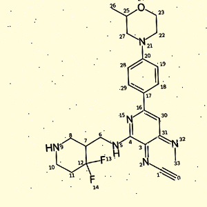 C#C/N=C1/C(NCC2CNCCC2(F)F)=NC(c2ccc(N3CCOC(C)C3)cc2)=C/C1=N/C